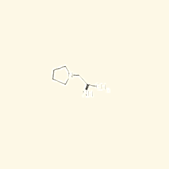 CC(=N)CN1CCCC1